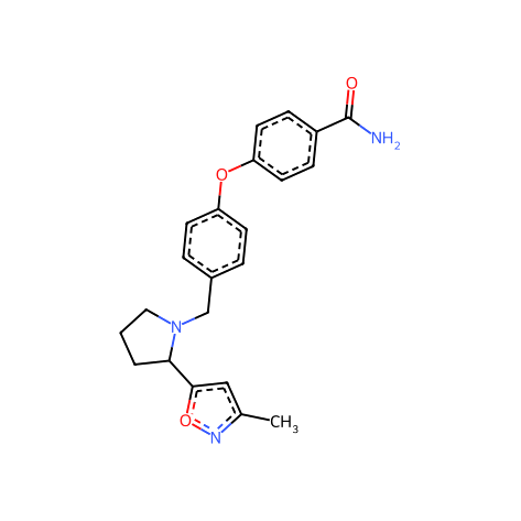 Cc1cc(C2CCCN2Cc2ccc(Oc3ccc(C(N)=O)cc3)cc2)on1